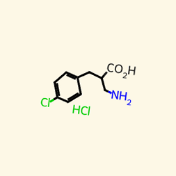 Cl.NCC(Cc1ccc(Cl)cc1)C(=O)O